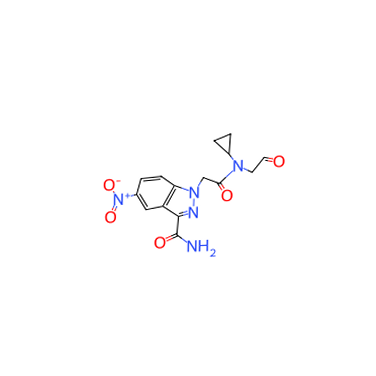 NC(=O)c1nn(CC(=O)N(CC=O)C2CC2)c2ccc([N+](=O)[O-])cc12